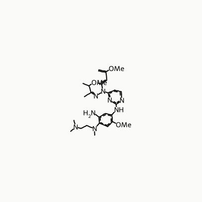 C=C(/C=C(\C)N(/N=C(/C)C(C)OC)c1ccnc(Nc2cc(N)c(N(C)CCN(C)C)cc2OC)n1)OC